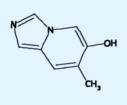 Cc1cc2cncn2cc1O